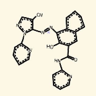 N#Cc1cnn(-c2ccccn2)c1/N=N/c1c(O)c(C(=O)Nc2ccccn2)cc2ccccc12